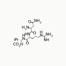 CC(C)[C@H](NC(=O)[C@H](CCCNC(=N)N)NC(=O)[C@@H](N)CC(N)=O)C(=O)O